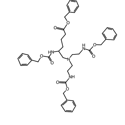 O=C(CCCC(CN(CCNC(=O)OCc1ccccc1)CCNC(=O)OCc1ccccc1)NC(=O)OCc1ccccc1)OCc1ccccc1